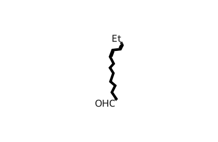 CC/C=C\C=C/CCCCCCCC=O